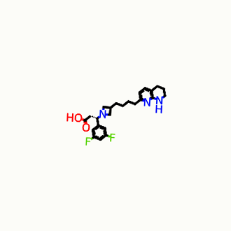 O=C(O)C[C@@H](c1cc(F)cc(F)c1)N1CC(CCCCc2ccc3c(n2)NCCC3)C1